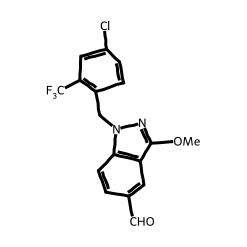 COc1nn(Cc2ccc(Cl)cc2C(F)(F)F)c2ccc(C=O)cc12